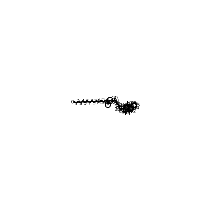 CCCCCCCCCCCCCCCC(=O)OCC(C)CCC[C@@H](C)[C@H]1CC[C@H]2[C@@H]3CCC4CCCC[C@]4(C)[C@H]3CC[C@]12C